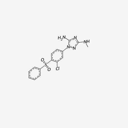 CNc1nc(N)n(-c2ccc(S(=O)(=O)c3ccccc3)c(Cl)c2)n1